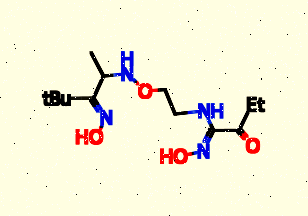 CCC(=O)C(=NO)NCCONC(C)C(=NO)C(C)(C)C